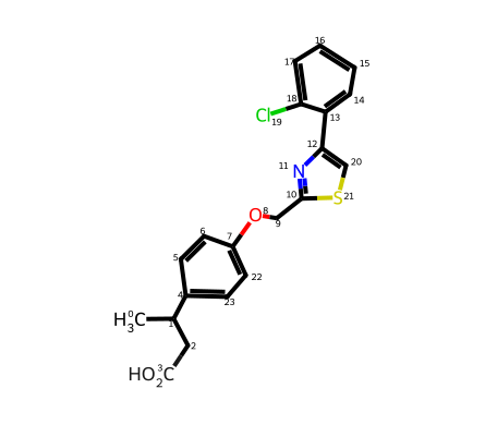 CC(CC(=O)O)c1ccc(OCc2nc(-c3ccccc3Cl)cs2)cc1